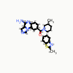 Cc1nc2cc([C@H]3CC[C@H](C)CN3C(=O)c3ccc4nc(N)c5cncn5c4c3)ccc2s1